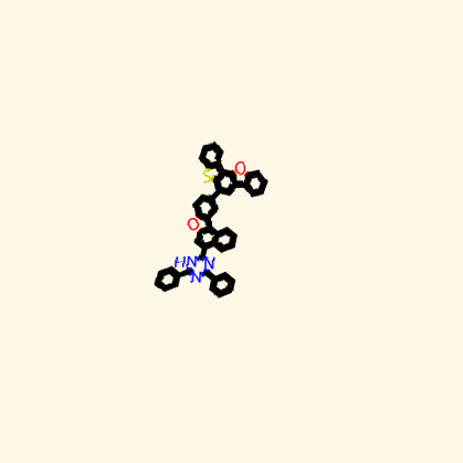 c1ccc(C2=NC(c3cc4oc5ccc(-c6cc7c8ccccc8oc7c7c6sc6ccccc67)cc5c4c4ccccc34)NC(c3ccccc3)=N2)cc1